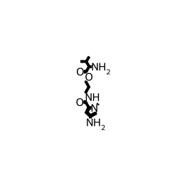 CC(C)C(N)C(=O)OCCCNC(=O)c1cc(N)cn1C